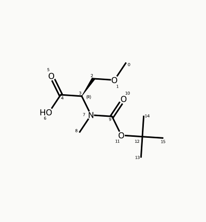 COC[C@H](C(=O)O)N(C)C(=O)OC(C)(C)C